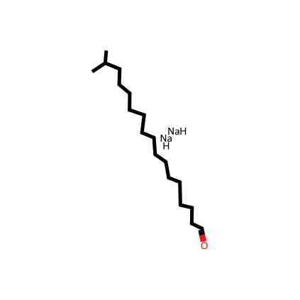 CC(C)CCCCCCCCCCCCCCC=O.[NaH].[NaH]